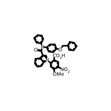 COc1cc(-n2cc(C(=O)N(c3ccccc3)c3ccc(OCc4ccccc4)cc3)c3ccccc32)c(C(=O)O)cc1[N+](=O)[O-]